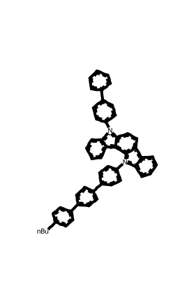 CCCCc1ccc(-c2ccc(-c3ccc(-n4c5ccccc5c5ccc6c(c7ccccc7n6-c6ccc(-c7ccccc7)cc6)c54)cc3)cc2)cc1